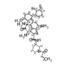 C=CC(=O)N1CCCC(NC(=O)c2sc3c(N)ccc4c3c2C(N)C(=O)C4(N)c2cc(-c3cccc(F)c3F)ccc2C)C1